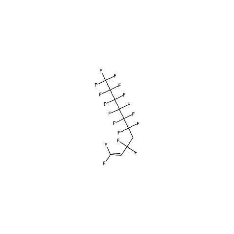 FC(F)=CC(F)(F)CC(F)(F)C(F)(F)C(F)(F)C(F)(F)C(F)(F)C(F)(F)F